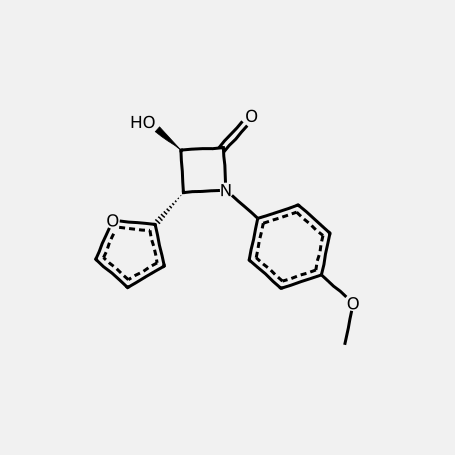 COc1ccc(N2C(=O)[C@H](O)[C@H]2c2ccco2)cc1